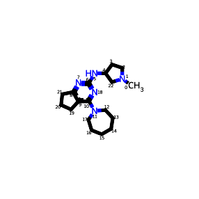 CN1CCC(Nc2nc3c(c(N4CCCCCC4)n2)CCC3)C1